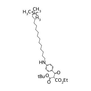 CCOC(=O)C(C(=O)OC(C)(C)C)C(=O)c1ccc(NCCCCCCCCCCCCCC[Si](C)(C)C)cc1